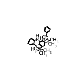 C[Si](C)(C)c1cc(Pc2ccccc2CO)c(OCc2ccccc2)c([Si](C)(C)C)c1